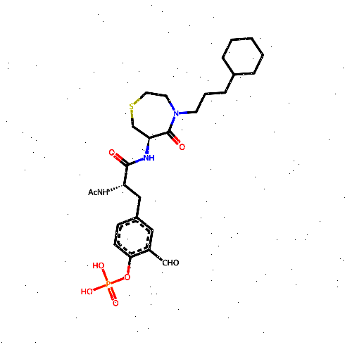 CC(=O)N[C@@H](Cc1ccc(OP(=O)(O)O)c(C=O)c1)C(=O)N[C@H]1CSCCN(CCCC2CCCCC2)C1=O